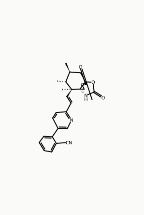 C[C@@H]1[C@@H](C)C[C@]23OC(=O)N[C@]2([C@@H](C)OC3=O)[C@H]1/C=C/c1ccc(-c2ccccc2C#N)cn1